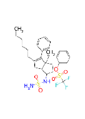 C=C(c1ccccc1OS(=O)(=O)C(F)(F)F)C12CCC(NS(N)(=O)=O)C1CC(CCCCCC)=C2c1ccccc1